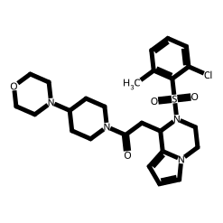 Cc1cccc(Cl)c1S(=O)(=O)N1CCn2cccc2C1CC(=O)N1CCC(N2CCOCC2)CC1